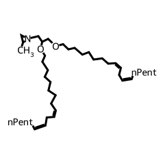 CCCCC/C=C\C/C=C\CCCCCCCCOCC(CN1CC1C)OCCCCCCCC/C=C\C/C=C\CCCCC